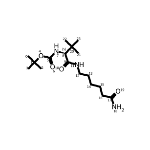 CC(C)(C)OC(=O)N[C@H](C(=O)NCCCCCC(N)=O)C(C)(C)C